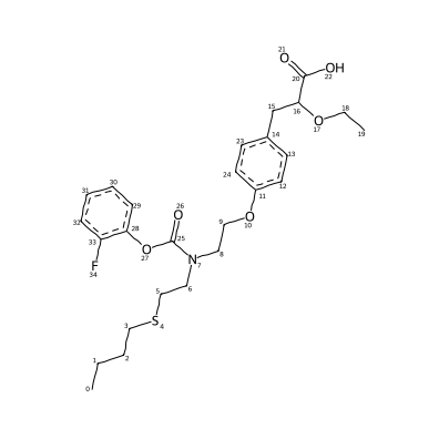 CCCCSCCN(CCOc1ccc(CC(OCC)C(=O)O)cc1)C(=O)Oc1ccccc1F